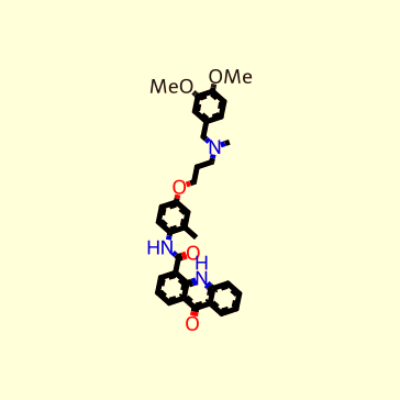 COc1ccc(CN(C)CCCOc2ccc(NC(=O)c3cccc4c(=O)c5ccccc5[nH]c34)c(C)c2)cc1OC